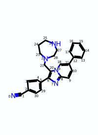 N#Cc1ccc(-c2nc3ccc(-c4ccccc4)cn3c2CN2CCCNCC2)cc1